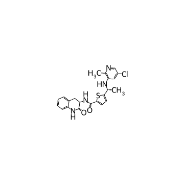 Cc1ncc(Cl)cc1N[C@@H](C)c1ccc(C(=O)NC2Cc3ccccc3NC2=O)s1